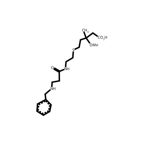 COC(C)(CCSCCNC(=O)CCNCc1ccccc1)CC(=O)O